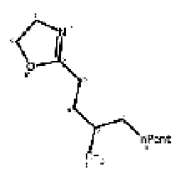 CCCCCCC(C)CCC1=NCCO1